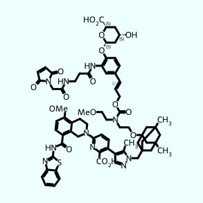 COCCN(CCOC12CC3(C)CC(C)(CC(Cn4ncc(-c5ccc(N6CCc7c(OC)ccc(C(=O)Nc8nc9ccccc9s8)c7C6)nc5C(=O)O)c4C)(C3)C1)C2)C(=O)OC/C=C/c1ccc(O[C@H]2C[C@@H](O)C[C@@H](C(=O)O)O2)c(NC(=O)CCNC(=O)CN2C(=O)C=CC2=O)c1